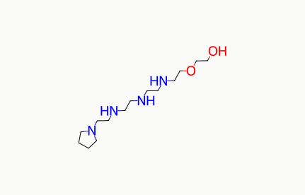 OCCOCCNCCNCCNCCN1CCCC1